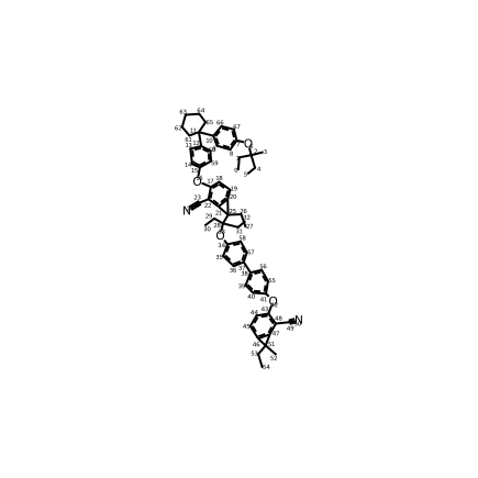 CCC(C)(CC)Oc1ccc(C2(c3ccc(Oc4ccc5c(c4C#N)C5(CC)C(CC)(CC)Oc4ccc(-c5ccc(Oc6ccc7c(c6C#N)C7(C)CC)cc5)cc4)cc3)CCCCC2)cc1